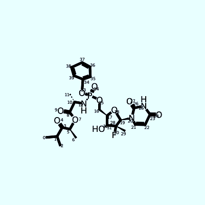 CC(C)C(=O)[C@H](C)OC(=O)[C@H](C)N[P@](=O)(OC[C@H]1O[C@@H](n2ccc(=O)[nH]c2=O)[C@](C)(F)[C@@H]1O)Oc1ccccc1